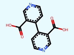 O=C(O)c1cnccc1-c1ccncc1C(=O)O